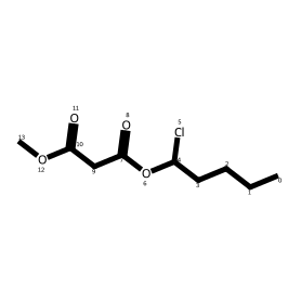 CCCCC(Cl)OC(=O)CC(=O)OC